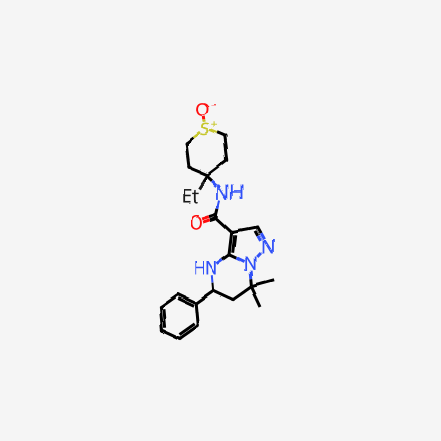 CCC1(NC(=O)c2cnn3c2NC(c2ccccc2)CC3(C)C)CC[S+]([O-])CC1